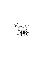 CC(C)(C)c1cc(C(C)(C)C)c([PH](O)(Cl)Cl)c(C(C)(C)C)c1